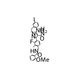 COc1ccccc1C(=O)NCc1ccc(-c2nn3c(c2C(N)=O)Nc2ccc(I)cc2CC3)c(F)c1C